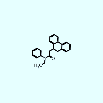 CCN(C(=O)CC1Cc2ccccc2-c2ccccc21)c1ccccc1